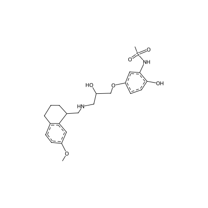 COc1ccc2c(c1)C(CNCC(O)COc1ccc(O)c(NS(C)(=O)=O)c1)CCC2